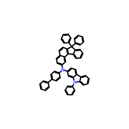 c1ccc(-c2ccc(N(c3ccc4ccc5c(c4c3)-c3ccccc3C5(c3ccccc3)c3ccccc3)c3ccc4c5ccccc5n(-c5ccccc5)c4c3)cc2)cc1